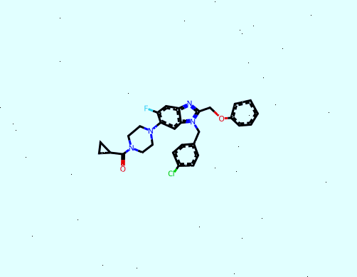 O=C(C1CC1)N1CCN(c2cc3c(cc2F)nc(COc2ccccc2)n3Cc2ccc(Cl)cc2)CC1